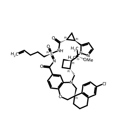 C=CCCC[S@](=O)(=NC(=O)c1ccc2c(c1)N(C[C@@H]1CC[C@H]1[C@H](C)OC)C[C@@]1(CCCc3cc(Cl)ccc31)CO2)NC(=O)[C@@H]1C[C@H]1c1ccnn1C